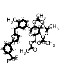 CC(=O)OC[C@H]1O[C@@H](c2ccc(C)c(Cc3ccc(-c4cccc(C(F)F)c4)s3)c2)[C@H](OC(C)=O)[C@@H](OC(C)=O)[C@@H]1OC(C)=O